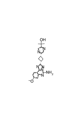 COc1ccc2c(c1)nc(N)n1nc([C@H]3C[C@@H](c4cnc(C(C)(C)O)cn4)C3)nc21